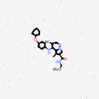 COCNC(=O)c1cn2ncc(C#N)c(Nc3ccc(Oc4ccccc4)cc3)c2c1C